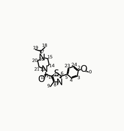 COc1ccc(-c2nc(C)c(C(=O)N3CCN(C(C)C)CC3)s2)cc1